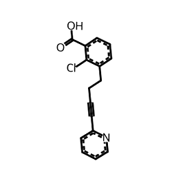 O=C(O)c1cccc(CCC#Cc2ccccn2)c1Cl